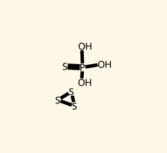 OP(O)(O)=S.s1ss1